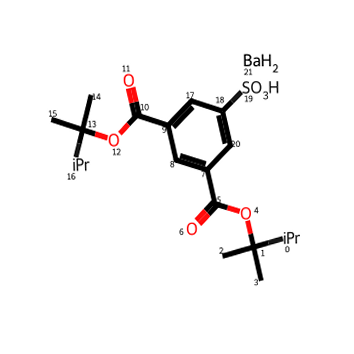 CC(C)C(C)(C)OC(=O)c1cc(C(=O)OC(C)(C)C(C)C)cc(S(=O)(=O)O)c1.[BaH2]